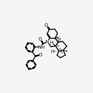 C[C@@]12CCC[C@H]1[C@@H]1CN(C(=O)Nc3ccccc3C(=O)c3ccccc3)C3=CC(=O)CC[C@]3(C)[C@H]1CC2